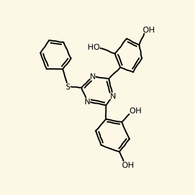 Oc1ccc(-c2nc(Sc3ccccc3)nc(-c3ccc(O)cc3O)n2)c(O)c1